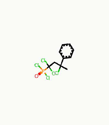 CC(Cl)(CC(Cl)(Cl)P(=O)(Cl)Cl)c1ccccc1